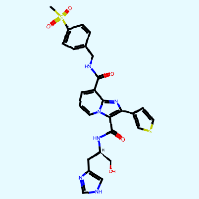 CS(=O)(=O)c1ccc(CNC(=O)c2cccn3c(C(=O)N[C@@H](CO)Cc4c[nH]cn4)c(-c4ccsc4)nc23)cc1